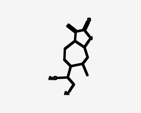 C=C1C(=O)OC2CC(C)C(C(CC(C)=O)OC(C)=O)CCC12